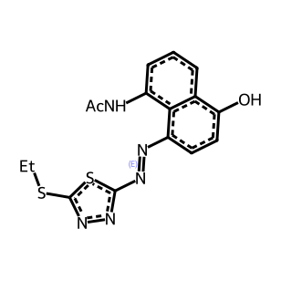 CCSc1nnc(/N=N/c2ccc(O)c3cccc(NC(C)=O)c23)s1